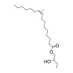 CCCCCC/C=C\CCCCCCCC(=O)OCC(O)CC